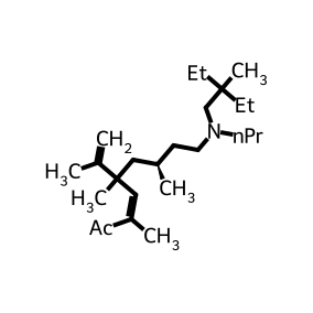 C=C(C)C(C)(/C=C(/C)C(C)=O)C[C@H](C)CCN(CCC)CC(C)(CC)CC